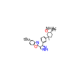 CC(=O)NOC1CC(C)(c2cccc(-c3n[nH]cc3-c3nc4cc(C(C)(C)C)ccc4o3)c2)CCC1C(C)C